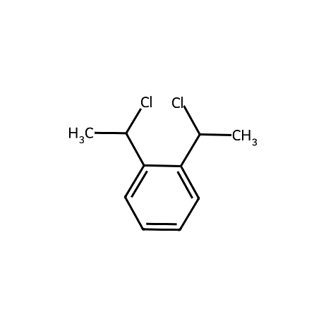 CC(Cl)c1ccccc1C(C)Cl